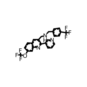 FC(F)(F)Oc1ccc2cc(CNCc3ccc(C(F)(F)F)cc3)c(-c3cccnc3)nc2c1